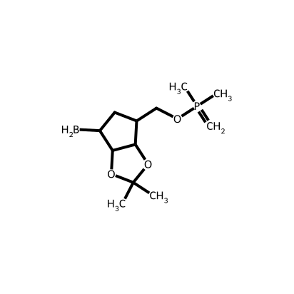 BC1CC(COP(=C)(C)C)C2OC(C)(C)OC12